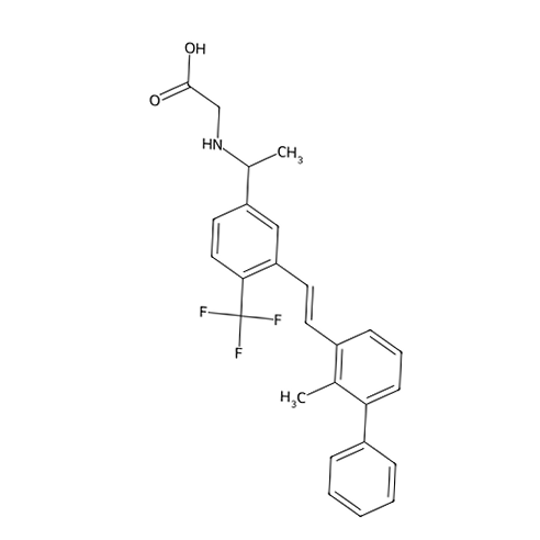 Cc1c(C=Cc2cc(C(C)NCC(=O)O)ccc2C(F)(F)F)cccc1-c1ccccc1